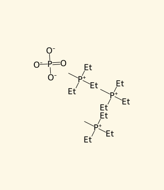 CC[P+](C)(CC)CC.CC[P+](C)(CC)CC.CC[P+](C)(CC)CC.O=P([O-])([O-])[O-]